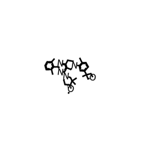 CO[C@H]1CCN(c2nc(-c3c(C)cccc3C)nc3c2CN(c2cc(C4(C)COC4)ccc2C)CC3)CC1(C)C